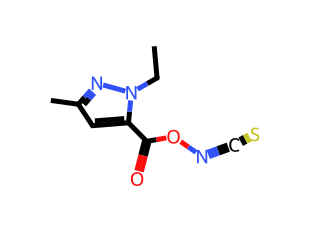 CCn1nc(C)cc1C(=O)ON=C=S